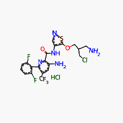 Cl.NCC(CCl)COc1sncc1NC(=O)c1nc(-c2c(F)cccc2F)c(C(F)(F)F)cc1N